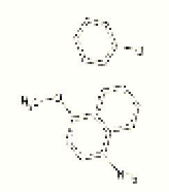 COc1ccc(N)c2ccccc12.Clc1ccccc1